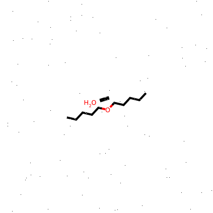 C=C.CCCCCOCCCCC.O